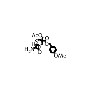 COc1ccc(COC(=O)C2(COC(C)=O)CS[C@@H]3C(N)C(=O)N3C2)cc1